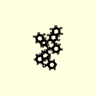 c1ccc2c(c1)Oc1cccc3nc(N4c5ccccc5-c5cc6ccccc6cc5-n5c4nc4ccccc45)nc-2c13